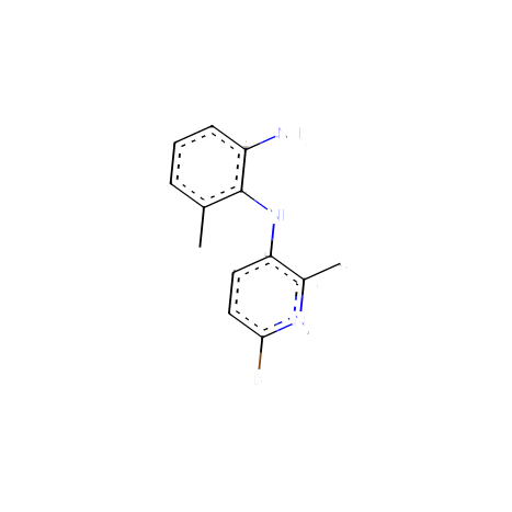 Cc1cccc(N)c1Nc1ccc(Br)nc1C